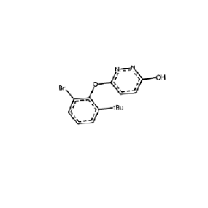 CC(C)(C)c1cccc(Br)c1Oc1ccc(O)nn1